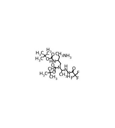 CCC(CN(C(=O)OC(C)(C)C)C(C)NNC(=O)C(F)(F)F)NC(=O)OC(C)(C)C.N